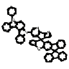 c1ccc(-n2c3ccccc3c3c4c5ccccc5n(-c5cnc6c(c5)C5(c7ccccc7Oc7cc8c(cc75)-c5ccccc5C85c7ccccc7-c7ccccc75)c5cccnc5-6)c4ccc32)cc1